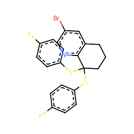 Fc1ccc(SC2(Sc3ccc(F)cc3)CCCc3cc(Br)cnc32)cc1